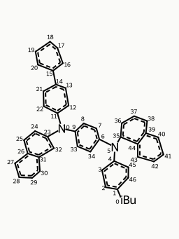 CCC(C)c1ccc(N(c2ccc(N(c3ccc(-c4ccccc4)cc3)c3ccc4ccccc4c3)cc2)c2cccc3ccccc23)cc1